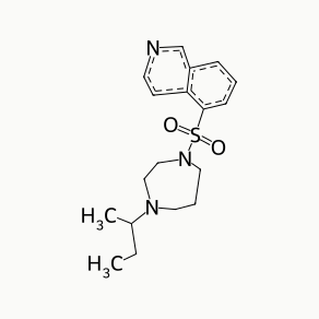 CCC(C)N1CCCN(S(=O)(=O)c2cccc3cnccc23)CC1